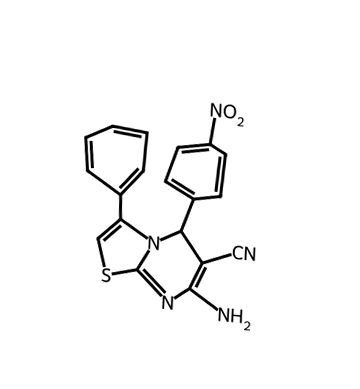 N#CC1=C(N)N=C2SC=C(c3ccccc3)N2C1c1ccc([N+](=O)[O-])cc1